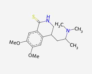 COc1cc2c(cc1OC)C(CC(C)N(C)C)CNC2=S